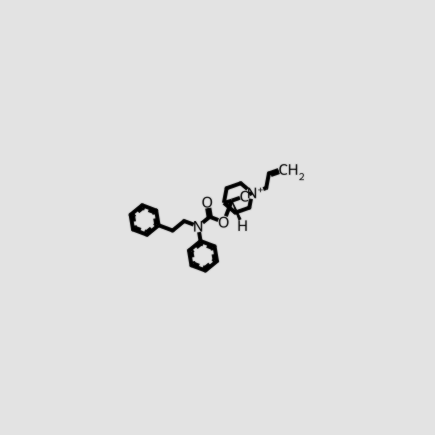 C=CC[N+]12CCC(CC1)[C@@H](OC(=O)N(CCc1ccccc1)c1ccccc1)C2